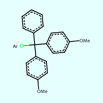 COc1ccc(C(Cl)(c2ccccc2)c2ccc(OC)cc2)cc1.[Ar]